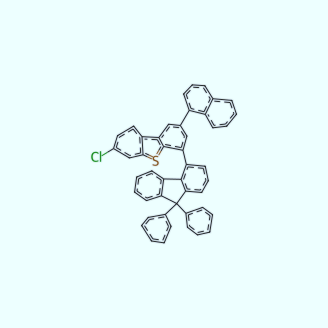 Clc1ccc2c(c1)sc1c(-c3cccc4c3-c3ccccc3C4(c3ccccc3)c3ccccc3)cc(-c3cccc4ccccc34)cc12